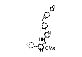 COc1ncc(N2CCOCC2)cc1SNc1ccnc(-c2ccc(CN3CCN(C4COC4)CC3)cc2F)c1